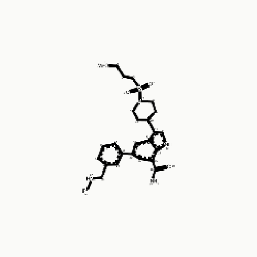 COCCCS(=O)(=O)N1CCC(c2c[nH]c3c(C(N)=O)cc(-c4cccc(CNC(C)C)c4)cc23)CC1